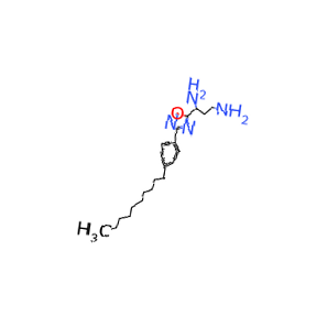 CCCCCCCCCCc1ccc(-c2noc([C@@H](N)CCN)n2)cc1